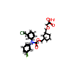 O=C(O)COCC1CCCC(COC(=O)N(c2cccc(F)c2)c2cccc(Cl)c2)C1